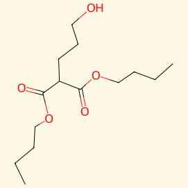 CCCCOC(=O)C(CCCO)C(=O)OCCCC